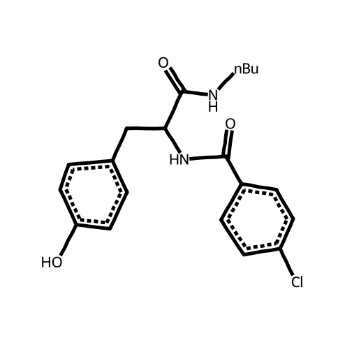 CCCCNC(=O)C(Cc1ccc(O)cc1)NC(=O)c1ccc(Cl)cc1